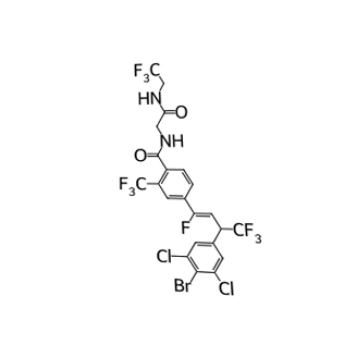 O=C(CNC(=O)c1ccc(/C(F)=C/C(c2cc(Cl)c(Br)c(Cl)c2)C(F)(F)F)cc1C(F)(F)F)NCC(F)(F)F